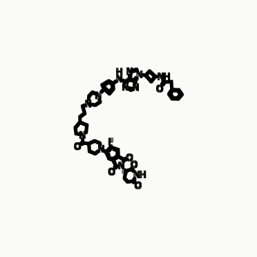 O=C1CC[C@H](N2C(=O)c3cc(F)c(N4CCC(C(=O)N5CCC(CCCN6CCN(c7ccc(Nc8ncnc9c8ncn9C8CC(NC(=O)Cc9ccccc9)C8)cc7)CC6)CC5)CC4)cc3C2=O)C(=O)N1